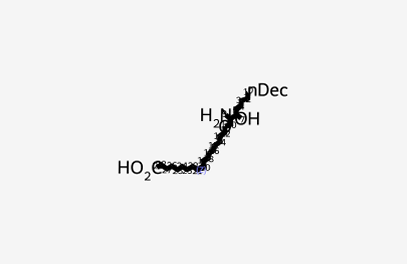 CCCCCCCCCCCCCC=CC(O)C(N)COCCCCCCCC/C=C\CCCCCCCC(=O)O